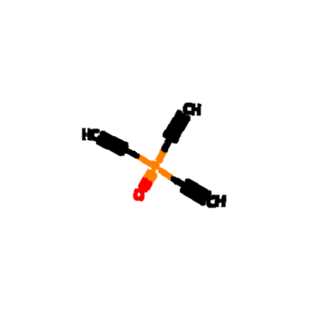 C#CP(=O)(C#C)C#C